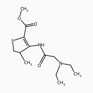 CCN(CC)CC(=O)NC1=C(C(=O)OC)SCC1C